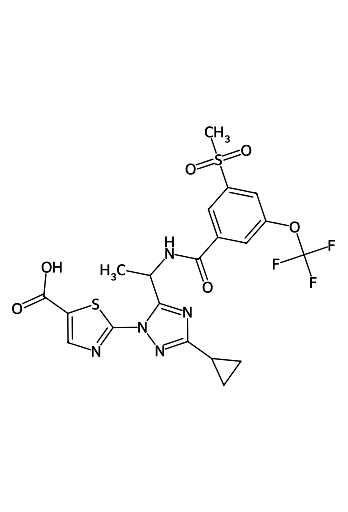 CC(NC(=O)c1cc(OC(F)(F)F)cc(S(C)(=O)=O)c1)c1nc(C2CC2)nn1-c1ncc(C(=O)O)s1